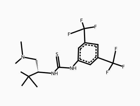 CN(C)C[C@H](NC(=S)Nc1cc(C(F)(F)F)cc(C(F)(F)F)c1)C(C)(C)C